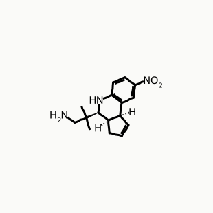 CC(C)(CN)[C@H]1Nc2ccc([N+](=O)[O-])cc2[C@H]2C=CC[C@H]21